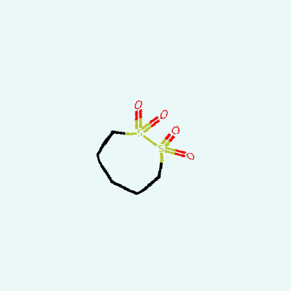 O=S1(=O)CCCCCS1(=O)=O